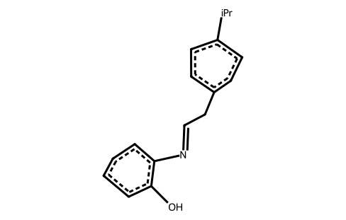 CC(C)c1ccc(CC=Nc2ccccc2O)cc1